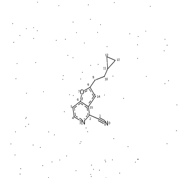 N#Cc1nccc2oc(CCC3CC3)cc12